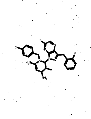 CN1C(N)[C]=C(N)N(Cc2ccc(Cl)cc2)C1n1nc(Cc2ccccc2F)c2ncc(F)cc21